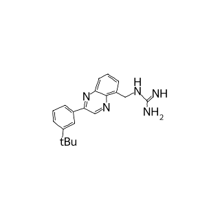 CC(C)(C)c1cccc(-c2cnc3c(CNC(=N)N)cccc3n2)c1